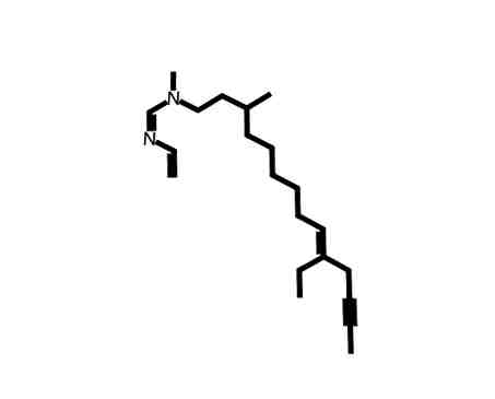 C=C/N=C\N(C)CCC(C)CCCCC/C=C(\CC)CC#CC